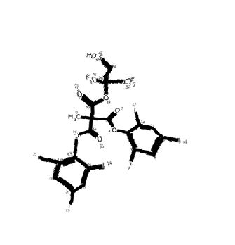 CC(C(=O)Oc1c(I)cc(I)cc1I)(C(=O)Oc1c(I)cc(I)cc1I)C(=O)OC(CS(=O)(=O)O)(C(F)(F)F)C(F)(F)F